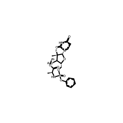 CC(=O)OC1[C@@H](COP(=O)(N[C@@H](C)C(=O)OC(C)C)Oc2ccccc2)O[C@@H](n2ccc(=O)[nH]c2=O)[C@@]1(C)F